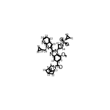 COc1cc(C(=O)N2CC3CC4CC2[C@H]43)cc2nc(-c3cc4cccnc4n3CC3CC3)n(C3CN(S(=O)(=O)C4CC4)C3)c12